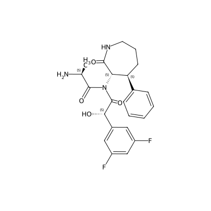 C[C@H](N)C(=O)N(C(=O)[C@@H](O)c1cc(F)cc(F)c1)[C@@H]1C(=O)NCCC[C@H]1c1ccccc1